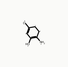 NC1=C(O)C=C(Cl)CC1